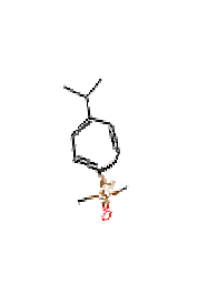 CC(C)c1ccc([SH](C)(C)=O)cc1